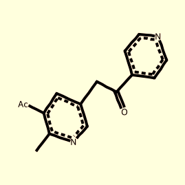 CC(=O)c1cc(CC(=O)c2ccncc2)cnc1C